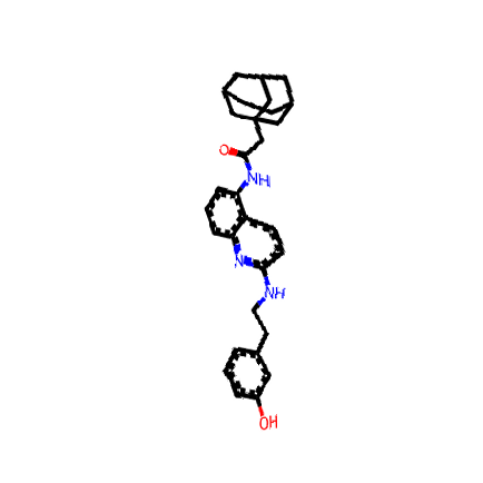 O=C(CC12CC3CC(CC(C3)C1)C2)Nc1cccc2nc(NCCc3cccc(O)c3)ccc12